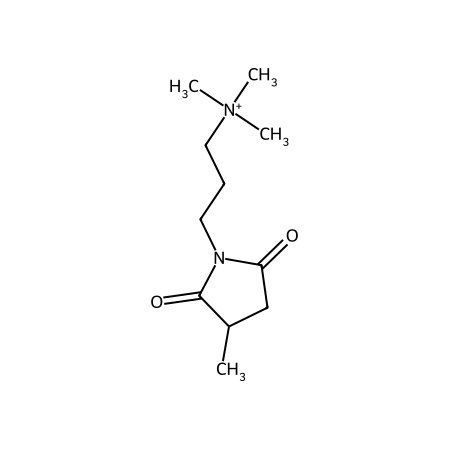 CC1CC(=O)N(CCC[N+](C)(C)C)C1=O